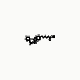 O=C(O)CCCCCN1CCC2(CC1)CC(N[C@@H]1C[C@H]1c1ccccc1)CO2